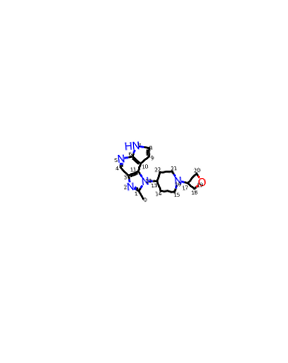 Cc1nc2cnc3[nH]ccc3c2n1C1CCN(C2COC2)CC1